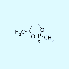 CC1CCOP(C)(=S)O1